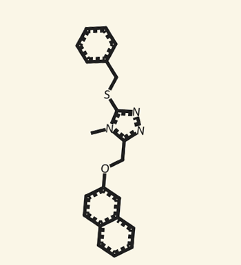 Cn1c(COc2ccc3ccccc3c2)nnc1SCc1ccccc1